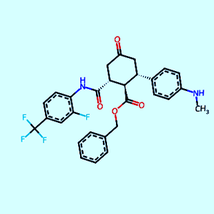 CNc1ccc([C@H]2CC(=O)C[C@@H](C(=O)Nc3ccc(C(F)(F)F)cc3F)[C@@H]2C(=O)OCc2ccccc2)cc1